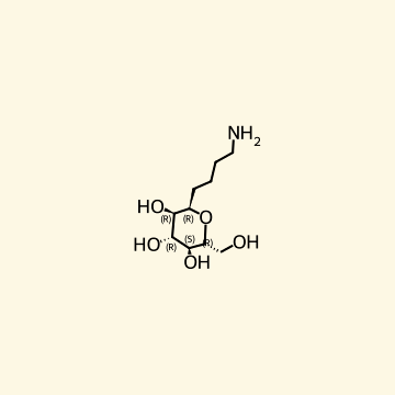 NCCCC[C@H]1O[C@H](CO)[C@@H](O)[C@H](O)[C@H]1O